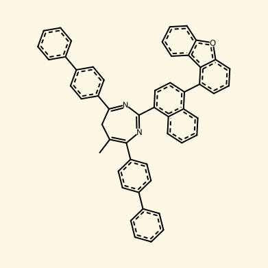 CC1=C(c2ccc(-c3ccccc3)cc2)N=C(c2ccc(-c3cccc4oc5ccccc5c34)c3ccccc23)N=C(c2ccc(-c3ccccc3)cc2)C1